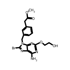 COC(=O)Cc1cccc(Cn2c(Br)nc3c(N)nc(OCCO)nc32)c1